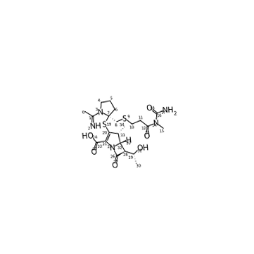 CC(=N)N1CCC[C@@]1(CSCCC(=O)N(C)C(N)=O)SC1=C(C(=O)O)N2C(=O)[C@H]([C@@H](C)O)[C@H]2[C@H]1C